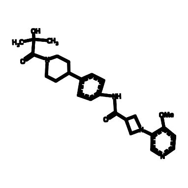 COc1ccncc1N1CC(C(=O)Nc2ccc(C3CCN(C(=O)C(C)(C)O)CC3)cc2)C1